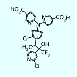 CC(c1ccc(N(c2ccc(C(=O)O)cn2)c2ccc(C(=O)O)cn2)cc1Cl)C(O)(c1ccnc(Cl)c1)C(F)(F)F